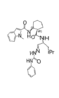 CC(C)CC(C=NNC(=O)Nc1ccccc1)NC(=O)[C@@H]1CCCC[C@@H]1NC(=O)c1cc2ccccc2n1C